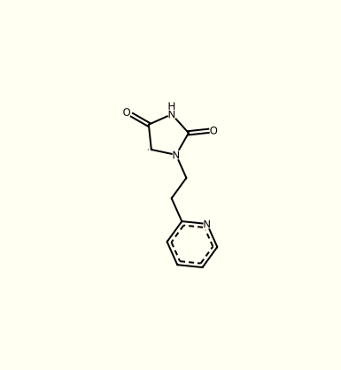 O=C1[CH]N(CCc2ccccn2)C(=O)N1